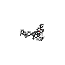 Cc1cc(C[C@@H](NC(=O)N2CCC(N3Cc4ccccc4NC3=O)CC2)C(=O)N[C@H](CC2CCNCC2)C(=O)N2CCN(c3ccncc3)CC2)cc2cn[nH]c12